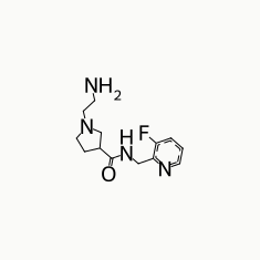 NCCN1CCC(C(=O)NCc2ncccc2F)C1